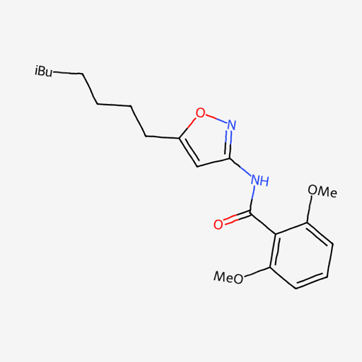 CCC(C)CCCCc1cc(NC(=O)c2c(OC)cccc2OC)no1